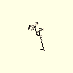 CC(C)CCCCCCOc1ccc(CCC(N)(CO)CC2CC2)c(O)c1